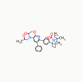 CC(=O)CN1C(=O)COc2nc(-c3ccc(C4(N(C(=O)O)C(C)(C)C)CCC4)cc3)c(-c3ccccc3)cc21